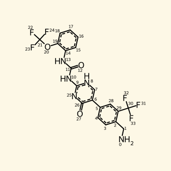 NCc1ccc(-c2c[nH]c(NC(=O)Nc3ccccc3OC(F)(F)F)nc2=O)cc1C(F)(F)F